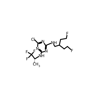 C[C@@H](Nc1nc(Cl)nc(NCC(CCF)CCF)n1)C(F)(F)F